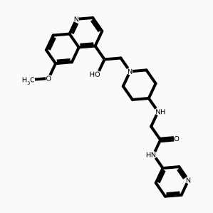 COc1ccc2nccc(C(O)CN3CCC(NCC(=O)Nc4cccnc4)CC3)c2c1